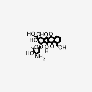 C[C@@H]1OC(O[C@H]2C[C@](O)(C(=O)CO)Cc3c(O)c4c(c(O)c32)C(=O)c2c(CO)cccc2C4=O)C[C@H](N)[C@@H]1O